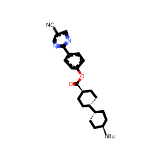 CCCC[C@H]1CC[C@H]([C@H]2CC[C@H](C(=O)Oc3ccc(-c4ncc(C#N)cn4)cc3)CC2)CC1